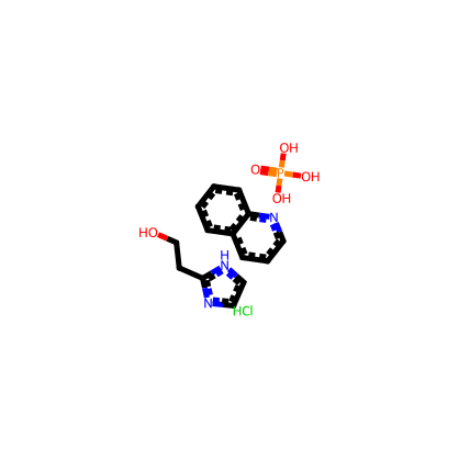 Cl.O=P(O)(O)O.OCCc1ncc[nH]1.c1ccc2ncccc2c1